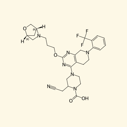 N#CCC1CN(c2nc(OCCCN3C[C@H]4C[C@@H]3CO4)nc3c2CCN(c2ccccc2C(F)(F)F)C3)CCN1C(=O)O